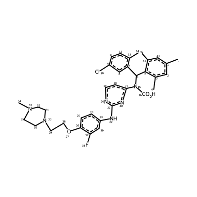 Cc1cc(C)c(C(c2cc(Cl)ccc2C)N(C(=O)O)c2ccnc(Nc3ccc(OCCN4CCN(C)CC4)c(F)c3)n2)c(C)c1